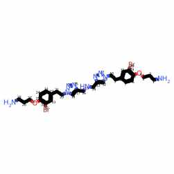 NCCCOc1ccc(CCn2cc(CNCc3cn(CCc4ccc(OCCCN)c(Br)c4)nn3)nn2)cc1Br